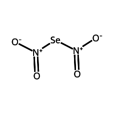 O=[N+]([O-])[Se][N+](=O)[O-]